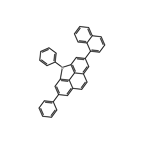 c1ccc(-c2cc3ccc4cc(-c5cccc6ccccc56)cc5c4c3c(c2)n5-c2ccccc2)cc1